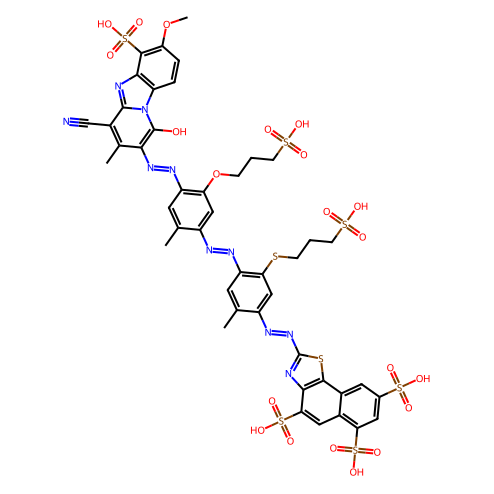 COc1ccc2c(nc3c(C#N)c(C)c(N=Nc4cc(C)c(N=Nc5cc(C)c(N=Nc6nc7c(S(=O)(=O)O)cc8c(S(=O)(=O)O)cc(S(=O)(=O)O)cc8c7s6)cc5SCCCS(=O)(=O)O)cc4OCCCS(=O)(=O)O)c(O)n32)c1S(=O)(=O)O